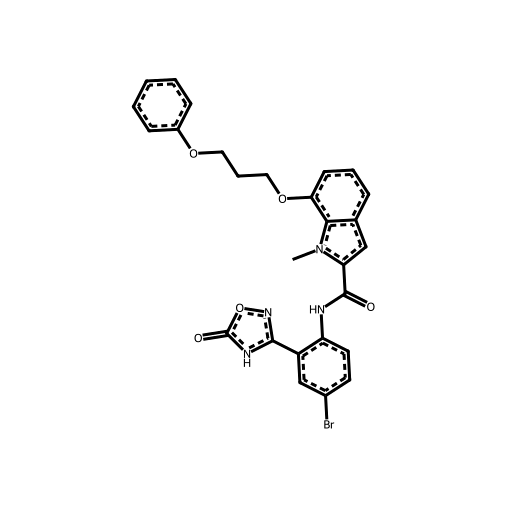 Cn1c(C(=O)Nc2ccc(Br)cc2-c2noc(=O)[nH]2)cc2cccc(OCCCOc3ccccc3)c21